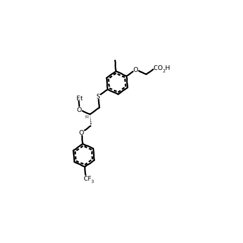 CCO[C@@H](COc1ccc(C(F)(F)F)cc1)CSc1ccc(OCC(=O)O)c(C)c1